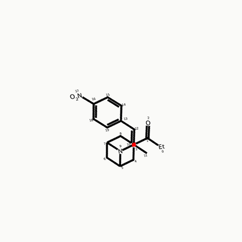 CCC(=O)N1CC2CC(C1)N2C(C)=Cc1ccc([N+](=O)[O-])cc1